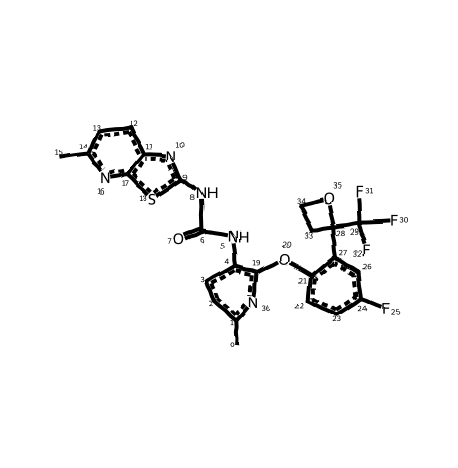 Cc1ccc(NC(=O)Nc2nc3ccc(C)nc3s2)c(Oc2ccc(F)cc2C2(C(F)(F)F)CCO2)n1